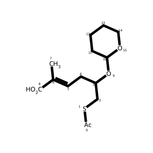 CC(=O)SCC(CC=C(C)C(=O)O)OC1CCCCO1